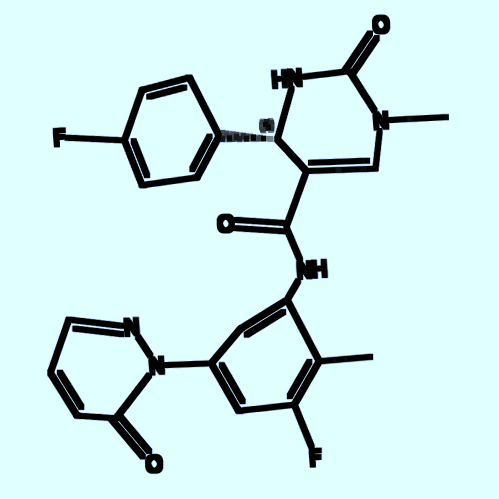 Cc1c(F)cc(-n2ncccc2=O)cc1NC(=O)C1=CN(C)C(=O)N[C@H]1c1ccc(F)cc1